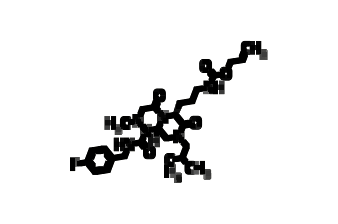 C=CCOC(=O)NCCC[C@H]1C(=O)N(CC(C)C)C[C@H]2N1C(=O)CN(C)N2C(=O)NCc1ccc(F)cc1